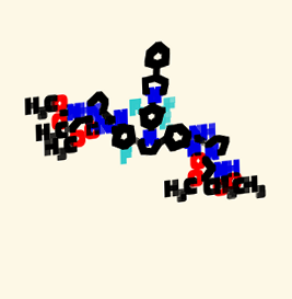 COC(=O)N[C@H](C(=O)N1CCC[C@H]1c1nc2cc([C@H]3CC[C@H](c4cc5nc([C@@H]6CCCN6C(=O)[C@@H](NC(=O)OC)[C@@H](C)OC)[nH]c5cc4F)N3c3cc(F)c(N4CCC(c5ccccc5)CC4)c(F)c3)c(F)cc2[nH]1)[C@@H](C)OC